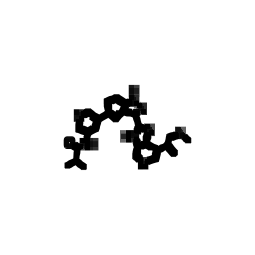 C=C(/C=N\C)c1cncc2[nH]c(-c3n[nH]c4ccc(-c5cncc(NC(=O)C(C)C)c5)cc34)nc12